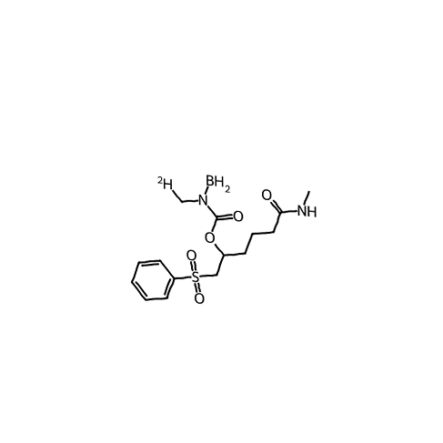 [2H]CN(B)C(=O)OC(CCCC(=O)NC)CS(=O)(=O)c1ccccc1